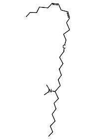 CCCCC/C=C\C/C=C\CCCCCCCCCCCCC(CCCCCCCC)N(C)C